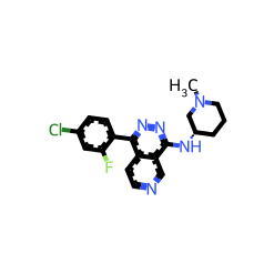 CN1CCC[C@H](Nc2nnc(-c3ccc(Cl)cc3F)c3ccncc23)C1